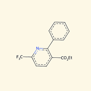 CCOC(=O)c1ccc(C(F)(F)F)nc1-c1ccccc1